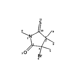 CN1C(=O)C(C)(Br)S(C)(C)C1=S